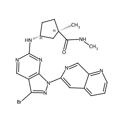 CNC(=O)[C@]1(C)CC[C@@H](Nc2ncc3c(Br)nn(-c4cc5cccnc5cn4)c3n2)C1